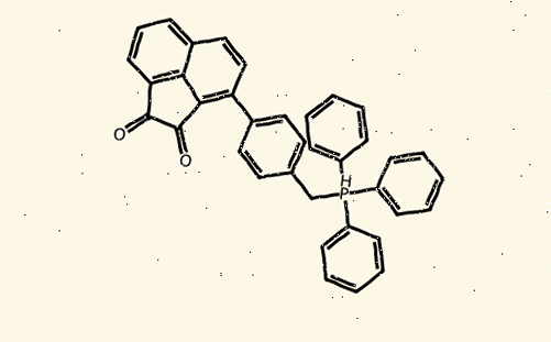 O=C1C(=O)c2c(-c3ccc(C[PH](c4ccccc4)(c4ccccc4)c4ccccc4)cc3)ccc3cccc1c23